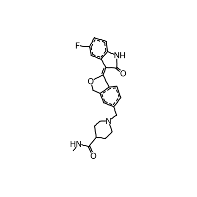 CNC(=O)C1CCN(Cc2ccc3c(c2)COC3=C2C(=O)Nc3ccc(F)cc32)CC1